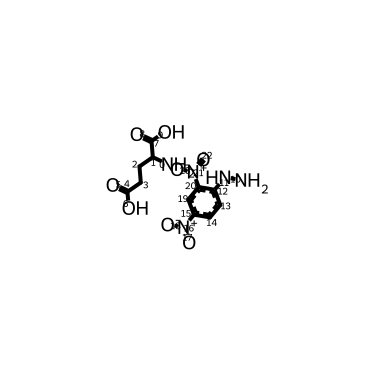 NC(CCC(=O)O)C(=O)O.NNc1ccc([N+](=O)[O-])cc1[N+](=O)[O-]